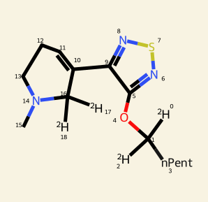 [2H]C([2H])(CCCCC)Oc1nsnc1C1=CCCN(C)C1([2H])[2H]